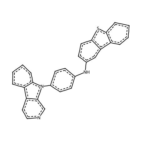 c1ccc2c(c1)sc1ccc(Nc3ccc(-n4c5ccccc5c5ccncc54)cc3)cc12